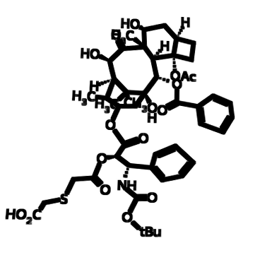 CC(=O)O[C@@]12CC[C@@H]1C[C@H](O)[C@@]1(C)C(=O)[C@H](O)[C@@H]3C(C)C(OC(=O)[C@H](OC(=O)CSCC(=O)O)[C@@H](NC(=O)OC(C)(C)C)c4ccccc4)C[C@@](O)([C@@H](OC(=O)c4ccccc4)[C@H]21)C3(C)C